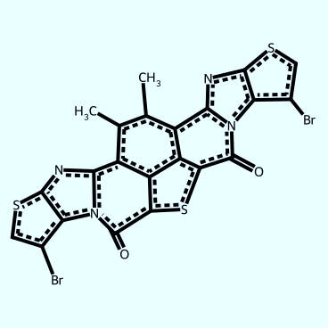 Cc1c(C)c2c3c(sc4c(=O)n5c(nc6scc(Br)c65)c1c43)c(=O)n1c2nc2scc(Br)c21